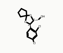 OC[C@H]1OC2(CCCC2)O[C@@H]1c1ccc(Cl)cc1Cl